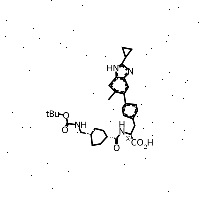 Cc1cc2[nH]c(C3CC3)nc2cc1-c1ccc(C[C@H](NC(=O)[C@H]2CC[C@H](CNC(=O)OC(C)(C)C)CC2)C(=O)O)cc1